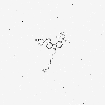 CCCCCCCCn1c2ccc(C(C)(C)CC)cc2c2cc(C(C)(C)CC)ccc21